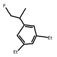 CCc1cc(CC)cc([C](C)CF)c1